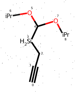 C#CC[SiH2]C(OC(C)C)OC(C)C